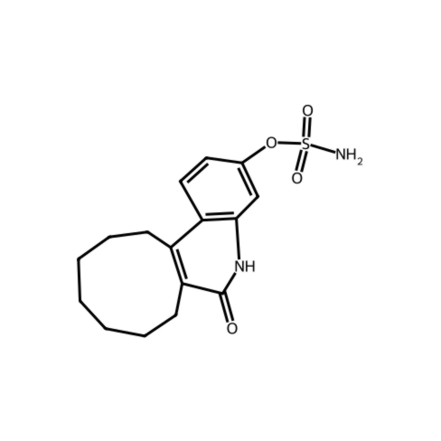 NS(=O)(=O)Oc1ccc2c3c(c(=O)[nH]c2c1)CCCCCCC3